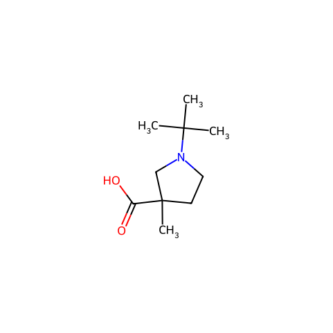 CC1(C(=O)O)CCN(C(C)(C)C)C1